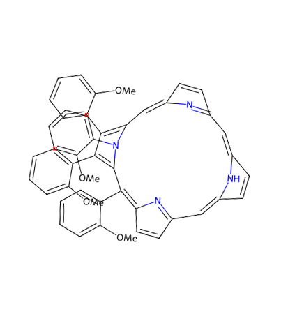 COc1ccccc1-c1c(-c2ccccc2OC)c2c(-c3ccccc3OC)c3nc(cc4ccc(cc5nc(cc1n2-c1ccccc1OC)C=C5)[nH]4)C=C3